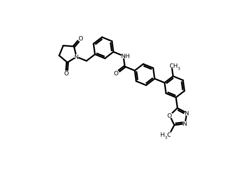 Cc1nnc(-c2ccc(C)c(-c3ccc(C(=O)Nc4cccc(CN5C(=O)CCC5=O)c4)cc3)c2)o1